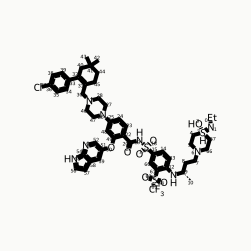 CCN=[SH]1(O)CCN(CC[C@H](C)Nc2ccc(S(=O)(=O)NC(=O)c3ccc(N4CCN(CC5=C(c6ccc(Cl)cc6)CC(C)(C)CC5)CC4)cc3Oc3cnc4[nH]ccc4c3)cc2S(=O)(=O)C(F)(F)F)CC1